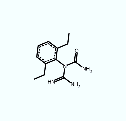 CCc1cccc(CC)c1N(C(=N)N)C(N)=O